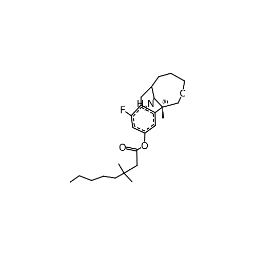 CCCCCC(C)(C)CC(=O)Oc1cc(F)c2c(c1)[C@@]1(C)CCCCCC(C2)C1N